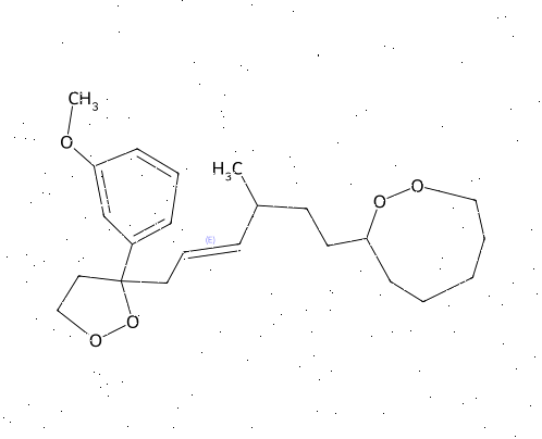 COc1cccc(C2(C/C=C/C(C)CCC3CCCCCOO3)CCOO2)c1